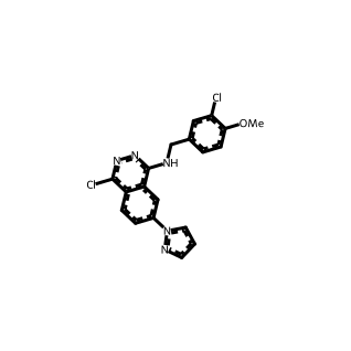 COc1ccc(CNc2nnc(Cl)c3ccc(-n4cccn4)cc23)cc1Cl